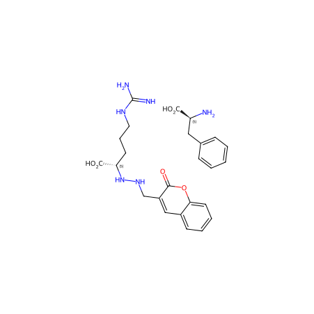 N=C(N)NCCC[C@H](NNCc1cc2ccccc2oc1=O)C(=O)O.N[C@@H](Cc1ccccc1)C(=O)O